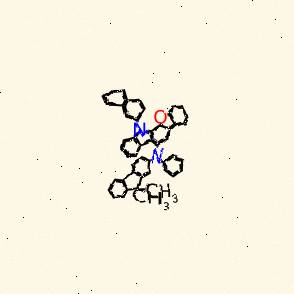 CC1(C)c2ccccc2-c2ccc(N(c3ccccc3)c3cc4c5ccccc5oc4c4c3c3ccccc3n4-c3ccc4ccccc4c3)cc21